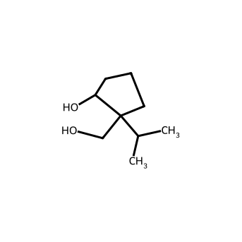 CC(C)C1(CO)CCCC1O